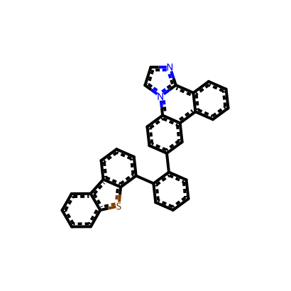 c1ccc(-c2cccc3c2sc2ccccc23)c(-c2ccc3c(c2)c2ccccc2c2nccn32)c1